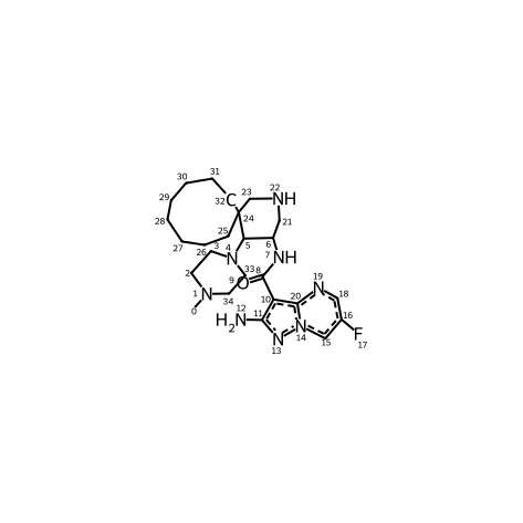 CN1CCN(C2C(NC(=O)c3c(N)nn4cc(F)cnc34)CNCC23CCCCCCCC3)CC1